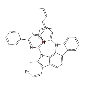 C/C=C\C=C(/C)c1nc(-c2ccccc2)nc(-n2c(C)c(/C=C\CC)c3ccc4c5ccccc5n(-c5ccccn5)c4c32)n1